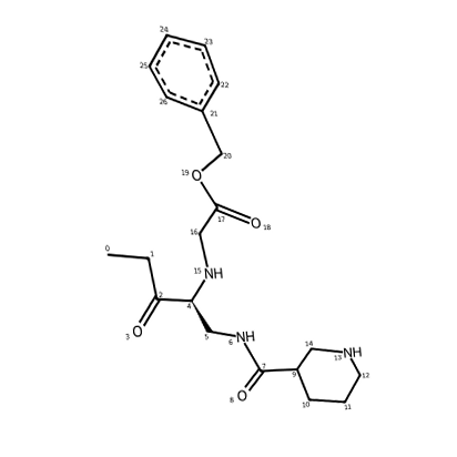 CCC(=O)[C@H](CNC(=O)C1CCCNC1)NCC(=O)OCc1ccccc1